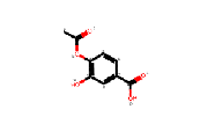 CC(=O)Oc1ccc(C(=O)O)cc1O